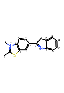 Cc1sc2cc(C3=Nc4ccccc4C3)ccc2[n+]1C